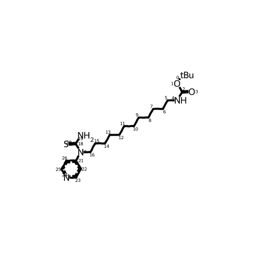 CC(C)(C)OC(=O)NCCCCCCCCCCCCN(C(N)=S)c1ccncc1